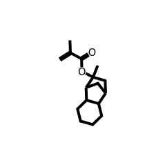 C=C(C)C(=O)OC1(C)CC2CC1C1CCCCC21